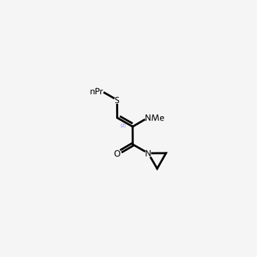 CCCS/C=C(\NC)C(=O)N1CC1